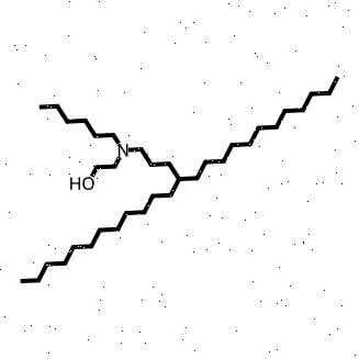 CCCCCCCCCCCCC(CCCCCCCCCCCC)CCCN(CCO)CCCCCC